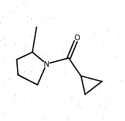 CC1CCCN1C(=O)C1CC1